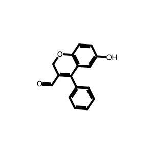 O=CC1=C(c2ccccc2)c2cc(O)ccc2OC1